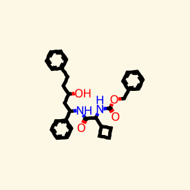 O=C(NC(C(=O)NC(CC(O)CCc1ccccc1)c1ccccc1)C1CCC1)OCc1ccccc1